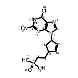 NC1=Nc2c(ncn2C2C=CC(CCP(=O)(O)O)C2)C(Cl)N1